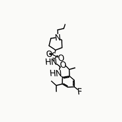 CCCN1CCC(S(=O)(=O)NC(=O)Nc2c(C(C)C)cc(F)cc2C(C)C)CC1